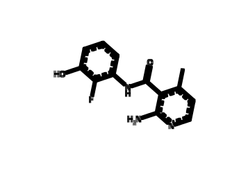 Cc1ccnc(N)c1C(=O)Nc1cccc(O)c1F